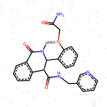 CCCCCCN1C(=O)c2ccccc2C(C(=O)NCc2cccnc2)C1c1ccccc1OCC(N)=O